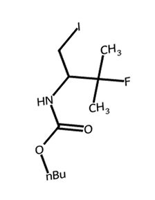 CCCCOC(=O)NC(CI)C(C)(C)F